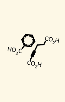 O=C(O)C#CCCC(=O)O.O=C(O)c1ccccc1